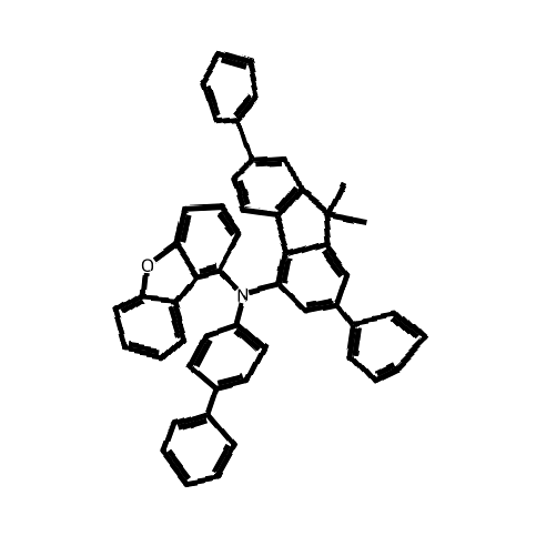 CC1(C)c2cc(-c3ccccc3)ccc2-c2c(N(c3ccc(-c4ccccc4)cc3)c3cccc4oc5ccccc5c34)cc(-c3ccccc3)cc21